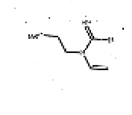 C=CN(CCOC)C(=N)CC